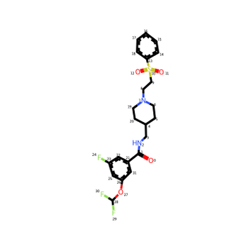 O=C(NCC1CCN(CCS(=O)(=O)c2ccccc2)CC1)c1cc(F)cc(OC(F)F)c1